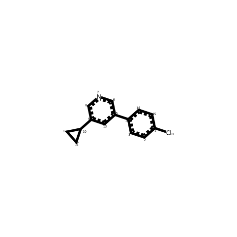 Clc1ccc(-c2cncc(C3[CH]C3)c2)cc1